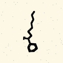 CCCCCCCC(F)c1ccccc1